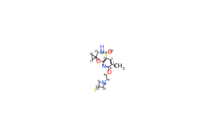 Cc1cc2c(nc1OCCN1CC(F)C1)OC1(CC1)CN[S+]2[O-]